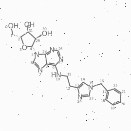 OC[C@H]1O[C@@H](n2cnc3c(NCCc4cn(Cc5ccccc5)cn4)ncnc32)[C@H](O)[C@@H]1O